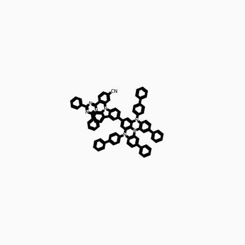 N#Cc1ccc(-c2nc(-c3ccccc3)nc(-c3ccccc3)n2)c(-n2c3ccccc3c3cc(-c4cc5c6c(c4)N(c4ccc(-c7ccccc7)cc4)c4ccc(-c7ccccc7)cc4B6c4cc(-c6ccccc6)ccc4N5c4ccc(-c5ccccc5)cc4)ccc32)c1